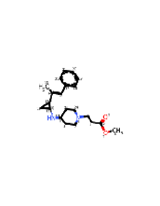 COC(=O)CCN1CCC(N[C@H]2CC2C(C)=Cc2ccccc2)CC1